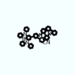 N#Cc1ccc(-n2c3ccccc3c3ccccc32)c(-c2ccccc2N2c3ccc(-c4cc5c6c(c4)N(c4ccccc4)c4ccccc4B6c4ccccc4N5c4ccccc4)cc3C3C=CC=CC32)c1